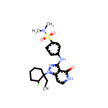 CN(C)S(=O)(=O)c1ccc(Nc2nn(C3(CC#N)CCCCC3F)c3cc[nH]c(=O)c23)cc1